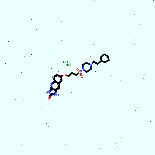 Cl.Cl.O=c1[nH]c2cc3cc(OCCCS(=O)(=O)N4CCN(CCC5CCCCC5)CC4)ccc3nc2[nH]1